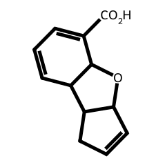 O=C(O)C1=CC=CC2C1OC1C=CCC12